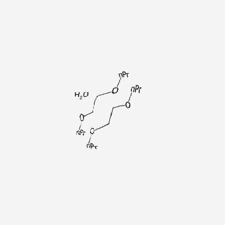 CCCOCCOCCC.CCCOCCOCCC.O